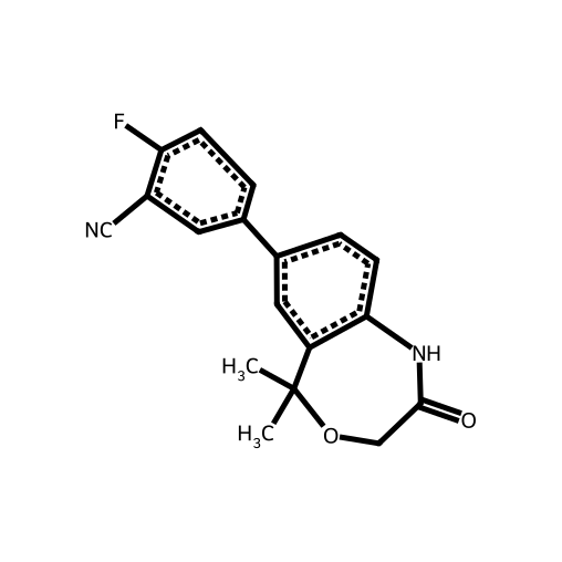 CC1(C)OCC(=O)Nc2ccc(-c3ccc(F)c(C#N)c3)cc21